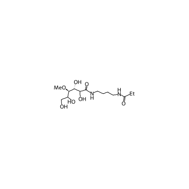 CCC(=O)NCCCCNC(=O)C(O)[C@@H](O)[C@H](OC)C(O)CO